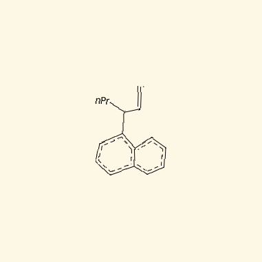 [CH]=CC(CCC)c1cccc2ccccc12